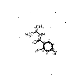 CC(C)NC(=O)c1ccc(F)cc1F